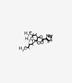 CCCCOC(=O)[C@@H](CC(C)C)OC(=O)c1csnn1